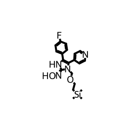 C[Si](C)(C)CCOCn1c(-c2ccncc2)c(-c2ccc(F)cc2)[nH]c1=NO